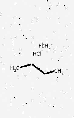 CCCC.Cl.[PbH2]